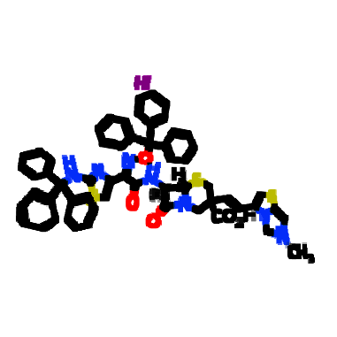 CN1C=C2SC=C(C=CC3(C(=O)O)CS[C@@H]4[C@H](NC(=O)C(=NOC(c5ccccc5)(c5ccccc5)c5ccccc5)c5csc(NC(c6ccccc6)(c6ccccc6)c6ccccc6)n5)C(=O)N4C3)N2C1.I